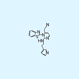 N#CCC1=CC=NC(NCCc2cccnc2)N1c1nc2ccccc2s1